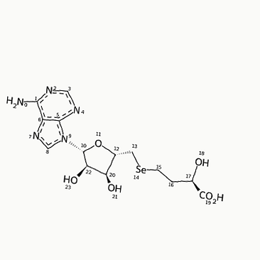 Nc1ncnc2c1ncn2[C@@H]1O[C@H](C[Se]CC[C@@H](O)C(=O)O)[C@@H](O)[C@H]1O